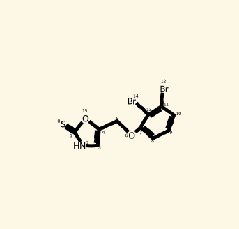 S=c1[nH]cc(COc2cccc(Br)c2Br)o1